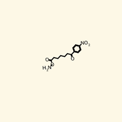 NOC(=O)CCCCCC(=O)c1ccc([N+](=O)[O-])cc1